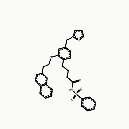 O=C(CCCc1ccc(Cn2cccn2)cc1OCCc1ccc2ccccc2c1)NS(=O)(=O)c1ccccc1